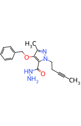 CC#CCCn1nc(C)c(OCc2ccccc2)c1C(=O)NN